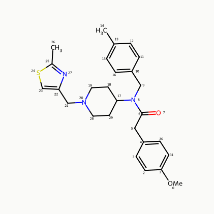 COc1ccc(CC(=O)N(Cc2ccc(C)cc2)C2CCN(Cc3csc(C)n3)CC2)cc1